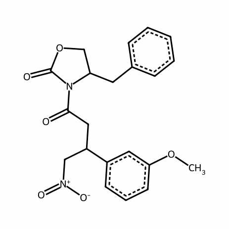 COc1cccc(C(CC(=O)N2C(=O)OCC2Cc2ccccc2)C[N+](=O)[O-])c1